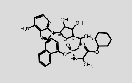 CC(NP(=O)(Oc1cccc2ccccc12)OC(C)[C@H]1O[C@@H](n2cnc3c(N)ccnc32)C(O)C1O)C(=O)OC1CCCCC1